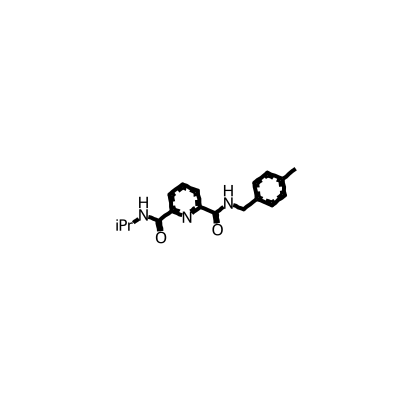 Cc1ccc(CNC(=O)c2cccc(C(=O)NC(C)C)n2)cc1